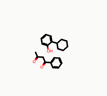 CC(=O)CC(=O)c1ccccc1.Oc1ccccc1C1CCCCC1